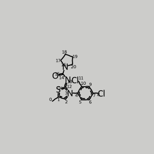 Cc1cn(-c2ccc(Cl)cc2Cl)/c(=N/C(=O)N2CCCC2)s1